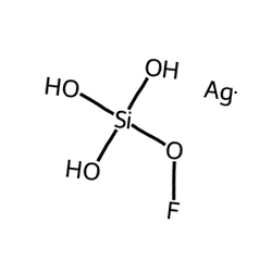 O[Si](O)(O)OF.[Ag]